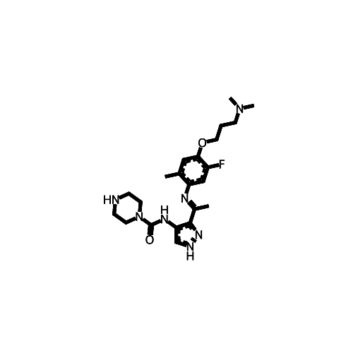 C/C(=N\c1cc(F)c(OCCCN(C)C)cc1C)c1n[nH]cc1NC(=O)N1CCNCC1